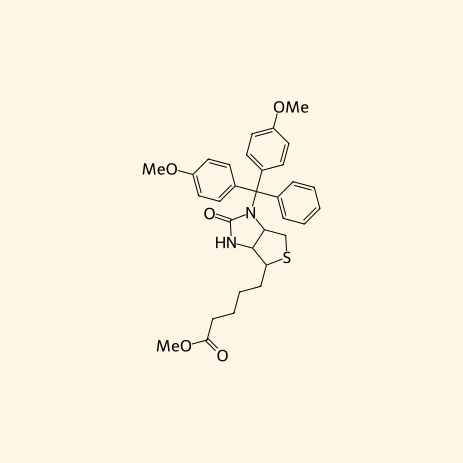 COC(=O)CCCCC1SCC2C1NC(=O)N2C(c1ccccc1)(c1ccc(OC)cc1)c1ccc(OC)cc1